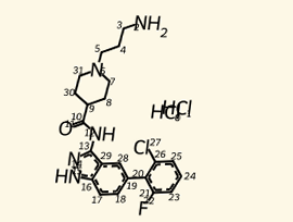 Cl.Cl.NCCCN1CCC(C(=O)Nc2n[nH]c3ccc(-c4c(F)cccc4Cl)cc23)CC1